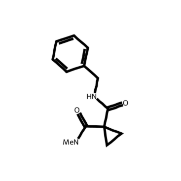 CNC(=O)C1(C(=O)NCc2ccccc2)CC1